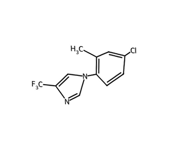 Cc1cc(Cl)ccc1-n1cnc(C(F)(F)F)c1